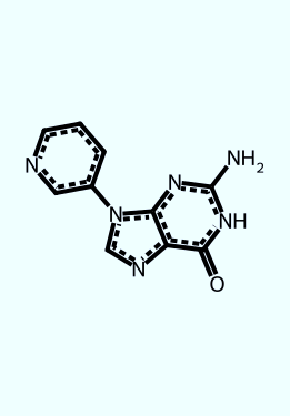 Nc1nc2c(ncn2-c2cccnc2)c(=O)[nH]1